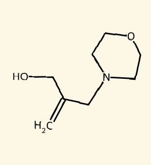 C=C(CO)CN1CCOCC1